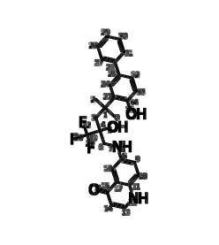 CC(C)(CC(O)(CNc1ccc2[nH]ccc(=O)c2c1)C(F)(F)F)c1cc(-c2ccccc2)ccc1O